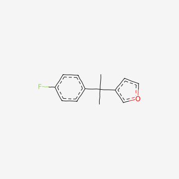 CC(C)(c1ccc(F)cc1)c1ccoc1